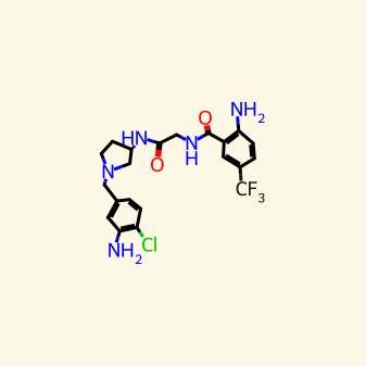 Nc1cc(CN2CC[C@@H](NC(=O)CNC(=O)c3cc(C(F)(F)F)ccc3N)C2)ccc1Cl